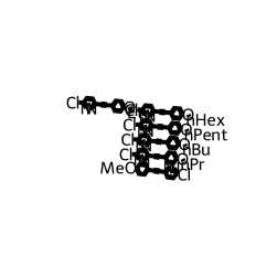 CCCCCCOc1ccc(C#Cc2ccc(Cl)nn2)cc1.CCCCCOc1ccc(C#Cc2ccc(Cl)nn2)cc1.CCCCOc1ccc(C#Cc2ccc(Cl)nn2)cc1.CCCOc1ccc(C#Cc2ccc(Cl)nn2)cc1.CCOc1ccc(C#Cc2ccc(Cl)nn2)cc1.COc1ccc(C#Cc2ccc(Cl)nn2)cc1